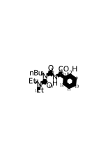 CCCCN(C(=O)NC(C(=O)O)c1ccccc1)C(=O)N(CC)CC